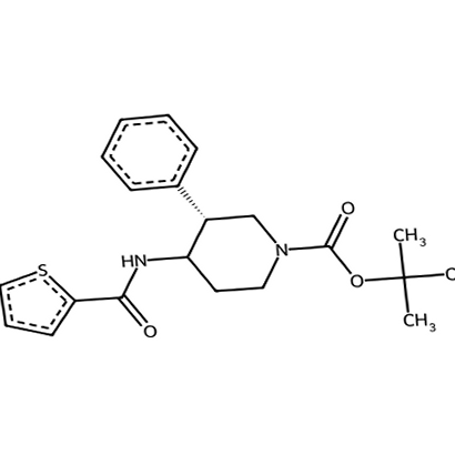 CC(C)(C)OC(=O)N1CCC(NC(=O)c2cccs2)[C@H](c2ccccc2)C1